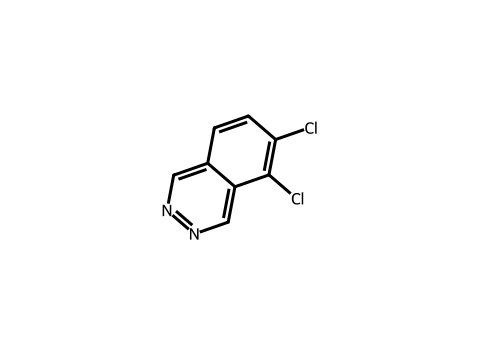 Clc1ccc2cnncc2c1Cl